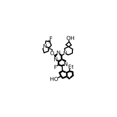 CCc1cccc2cc(O)cc(-c3ncc4c(N5CCCC6(CC(O)C6)C5)nc(OC[C@@]56CCCN5C[C@H](F)C6)nc4c3F)c12